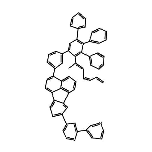 C=C/C=C\C=C(/C)c1c(-c2cccc(-c3ccc4c5c(cccc35)-c3cc(-c5cccc(-c6cccnc6)c5)ccc3-4)c2)cc(-c2ccccc2)c(-c2ccccc2)c1-c1ccccc1